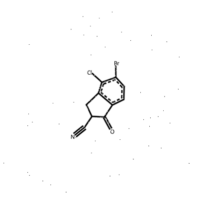 N#CC1Cc2c(ccc(Br)c2Cl)C1=O